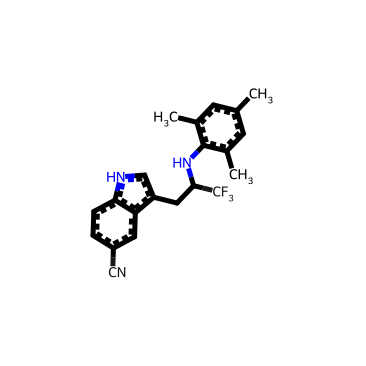 Cc1cc(C)c(NC(Cc2c[nH]c3ccc(C#N)cc23)C(F)(F)F)c(C)c1